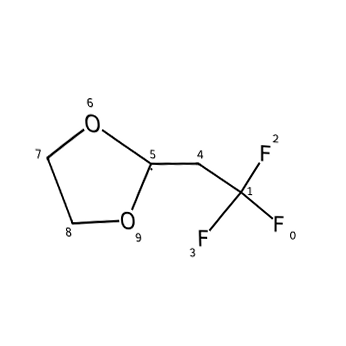 FC(F)(F)C[C]1OCCO1